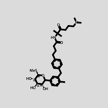 CS[C@H]1OC(c2ccc(C)c(Cc3ccc(CCCC(=O)NC(C)(C)C(=O)CCCN(C)C)cc3)c2)[C@H](O)[C@@H](O)[C@@H]1O